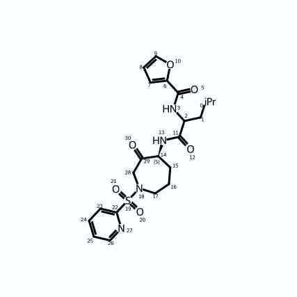 CC(C)CC(NC(=O)c1ccco1)C(=O)N[C@H]1CCCN(S(=O)(=O)c2ccccn2)CC1=O